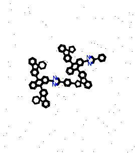 c1ccc(-c2cnc(-c3ccc4c(-c5ccc6c(c5)C5(CCCC5)c5ccccc5-6)c5ccccc5c(-c5ccc6c(c5)C5(CCC(c7ccc(-c8cnc(-c9ccc%10c(-c%11ccc%12c(c%11)C%11(CCCCC%11)c%11ccccc%11-%12)c%11ccccc%11c(-c%11ccc%12c(c%11)C%11(CCCCC%11)c%11ccccc%11-%12)c%10c9)nc8)cc7)C5)c5ccccc5-6)c4c3)nc2)cc1